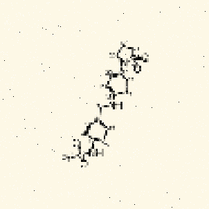 CC(C)S(=O)(=O)Nc1ccc(CNc2ccc(N3CCCS3(=O)=O)cc2)cc1